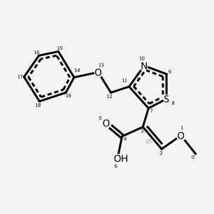 CO/C=C(/C(=O)O)c1scnc1COc1ccccc1